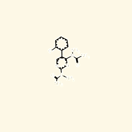 NC(=O)N(N)c1ncc(-c2ccccc2Cl)c(N(N)C(N)=O)n1